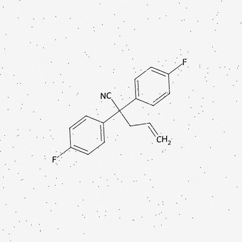 C=CCC(C#N)(c1ccc(F)cc1)c1ccc(F)cc1